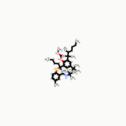 CCCCC(C)C(C)(C)c1cc(C(C)(C)C)cc(C(C)(CCCC)Pc2ccc(C)cc2CNC(C)(C)C)c1OCOC